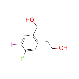 OCCc1cc(F)c(I)cc1CO